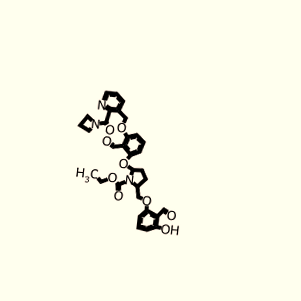 CCOC(=O)N1C(COc2cccc(O)c2C=O)CCC1Oc1cccc(OCc2cccnc2C(=O)N2CCC2)c1C=O